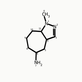 CN1N=CC2CC(N)CCCC21